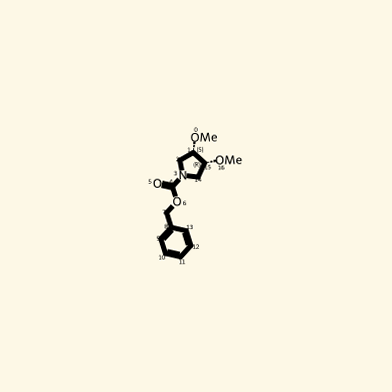 CO[C@H]1CN(C(=O)OCc2ccccc2)C[C@H]1OC